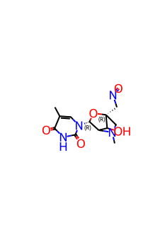 Cc1cn([C@@H]2O[C@@]3(CN=O)CN(C)C2C3O)c(=O)[nH]c1=O